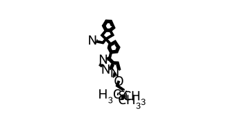 C[Si](C)(C)CCOCn1ccc2c(-c3cccc(C4(CC#N)Cc5ccccc5C4)c3)ncnc21